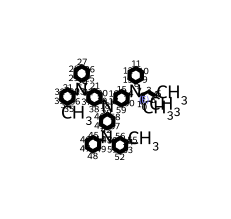 C/C=C(\C=C(C)C)N(c1ccccc1)c1ccc(N(c2ccc(N(c3ccccc3)c3cccc(C)c3)cc2)c2ccc(N(c3ccccc3)c3cccc(C)c3)cc2)cc1